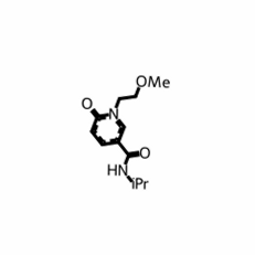 COCCn1cc(C(=O)NC(C)C)ccc1=O